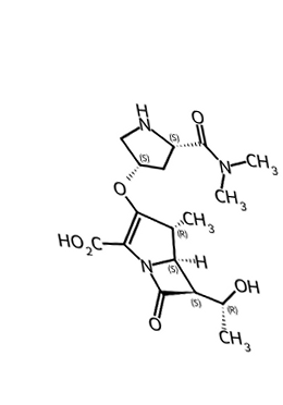 C[C@@H](O)[C@H]1C(=O)N2C(C(=O)O)=C(O[C@@H]3CN[C@H](C(=O)N(C)C)C3)[C@H](C)[C@@H]12